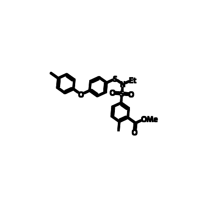 CCN(Sc1ccc(Oc2ccc(C)cc2)cc1)S(=O)(=O)c1ccc(C)c(C(=O)OC)c1